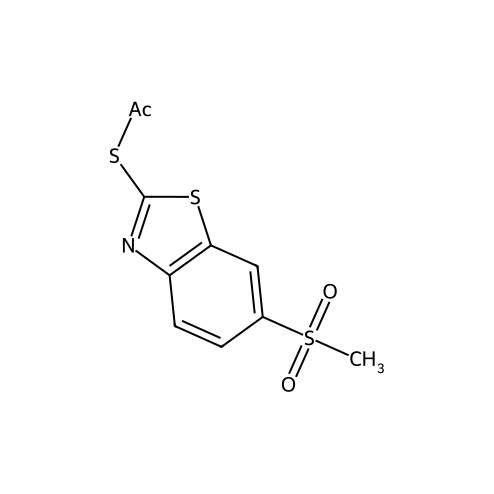 CC(=O)Sc1nc2ccc(S(C)(=O)=O)cc2s1